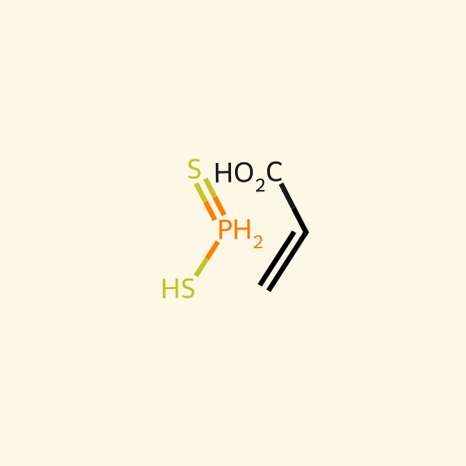 C=CC(=O)O.S=[PH2]S